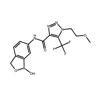 COCCn1nnc(C(=O)Nc2ccc3c(c2)B(O)OC3)c1C(F)(F)F